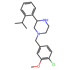 COc1cc(CN2CCNC(c3ccccc3C(C)C)C2)ccc1Cl